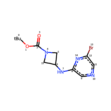 CC(C)(C)OC(=O)N1CC(Nc2cncc(Br)n2)C1